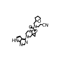 N#CCCN(CC1CCCO1)S(=O)(=O)N1CCN(c2ncnc3[nH]ccc23)CC12CC2